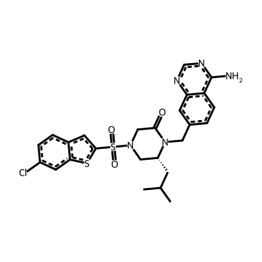 CC(C)C[C@@H]1CN(S(=O)(=O)c2cc3ccc(Cl)cc3s2)CC(=O)N1Cc1ccc2c(N)ncnc2c1